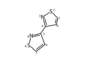 [c]1csnc1-c1ccsn1